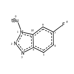 CC(C)(C)n1nnc2ccc(F)cc21